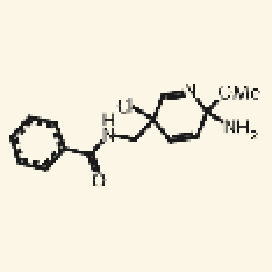 COC1(N)C=CC(Cl)(CNC(=O)c2ccccc2)C=N1